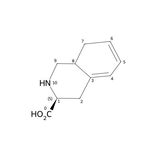 O=C(O)[C@@H]1CC2=CC=CCC2CN1